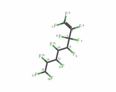 FC(F)=C(F)C(F)(F)C(F)C(F)C(F)C(F)C(F)F